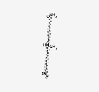 N.NC(=O)CCCCCCCCCCCCCCCCCNCCCCCCCCCCCCCCCCCC(=O)N1CC1